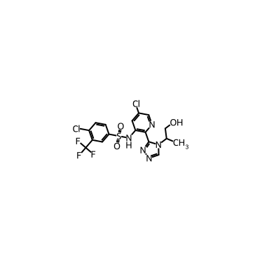 CC(CO)n1cnnc1-c1ncc(Cl)cc1NS(=O)(=O)c1ccc(Cl)c(C(F)(F)F)c1